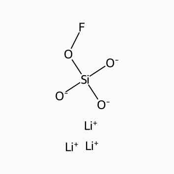 [Li+].[Li+].[Li+].[O-][Si]([O-])([O-])OF